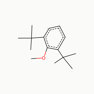 COc1c(C(C)(C)C)[c]ccc1C(C)(C)C